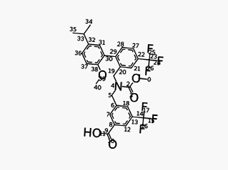 COC(=O)N(Cc1cc(C(=O)O)cc(C(F)(F)F)c1)Cc1cc(C(F)(F)F)ccc1-c1cc(C(C)C)ccc1OC